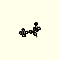 Fc1ccc(N(c2ccc(-c3ccc([Si](c4ccccc4)(c4ccccc4)c4ccccc4)cc3)cc2)c2ccc3c4c2ccc2cccc(c24)n3-c2ccccc2)cc1